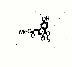 COC(=O)CC1CN(C)C(=O)c2ccc(O)cc21